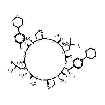 CC(C)C[C@H]1C(=O)O[C@H](C)C(=O)N(C)[C@@H](CC(C)(C)F)C(=O)O[C@H]([C@@H](C)c2ccc(C3CCOCC3)cc2)C(=O)N(C)[C@@H](CC(C)C)C(=O)O[C@H](C)C(=O)N(C)[C@@H](CC(C)(C)F)C(=O)O[C@H](Cc2ccc(C3CCOCC3)cc2)C(=O)N1C